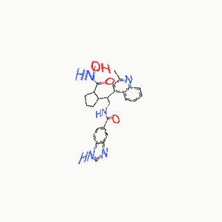 Cc1cc(C(CNC(=O)c2ccc3[nH]cnc3c2)C2CCCC2C(=O)NO)c2ccccc2n1